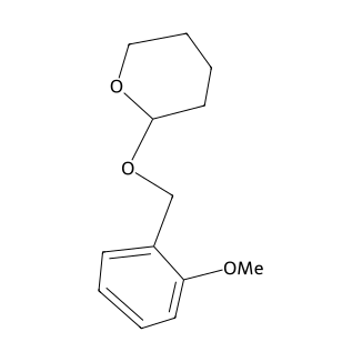 COc1ccccc1COC1CCCCO1